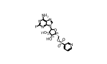 Nc1nc(F)nc2c1ncn2C1O[C@H](COS(=O)(=O)c2cccnc2)[C@@H](O)[C@H]1O